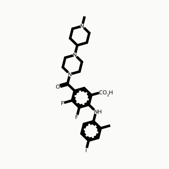 Cc1cc(I)ccc1Nc1c(C(=O)O)cc(C(=O)N2CCN(C3CCN(C)CC3)CC2)c(F)c1F